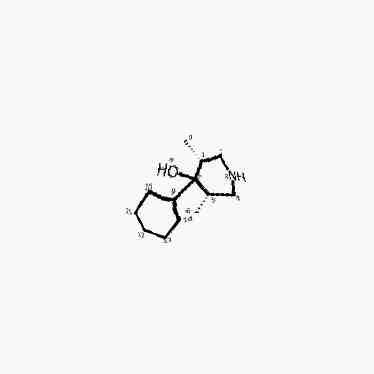 C[C@@H]1CNC[C@H](C)C1(O)C1CCCCC1